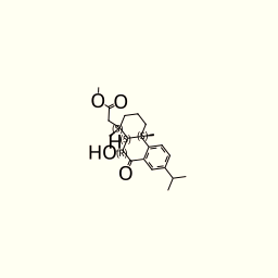 COC(=O)C[C@]1(C)CCC[C@]2(C)c3ccc(C(C)C)cc3C(=O)[C@H](O)[C@@H]12